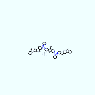 C=C(C)c1c2cc(N(c3ccccc3)c3ccc4c(c3)C(C)(C)c3cc5c(cc3-4)C(C)(C)c3ccccc3-5)ccc2c(C(C)(C)C)c2cc(N(c3ccccc3)c3ccc4c(c3)C(C)(C)c3cc5c(cc3-4)C(C)(C)c3ccccc3-5)ccc12